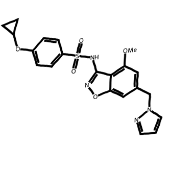 COc1cc(Cn2cccn2)cc2onc(NS(=O)(=O)c3ccc(OC4CC4)cc3)c12